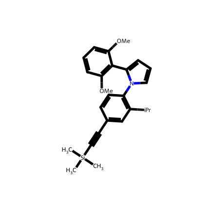 COc1cccc(OC)c1-c1cccn1-c1ccc(C#C[Si](C)(C)C)cc1C(C)C